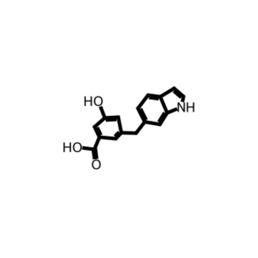 O=C(O)c1cc(O)cc(Cc2ccc3cc[nH]c3c2)c1